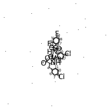 COC(=O)C(Cc1ccc(Cl)cc1)NC(=O)c1ccc(Cl)cc1NS(=O)(=O)c1ccc(F)cc1F